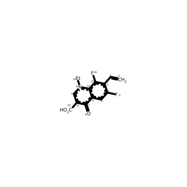 C=Cc1c(F)cc2c(=O)c(C(=O)O)cn(CC)c2c1F